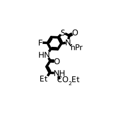 CCCn1c(=O)sc2cc(F)c(NC(=O)C=C(CC)NC(=O)OCC)cc21